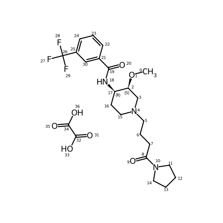 CO[C@H]1CN(CCCC(=O)N2CCCC2)CC[C@H]1NC(=O)c1cccc(C(F)(F)F)c1.O=C(O)C(=O)O